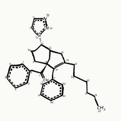 C=C(c1ccccc1)[C@@]12CC[C@H](n3ccnn3)C1CC(CCCCCC)=C2c1ccccc1